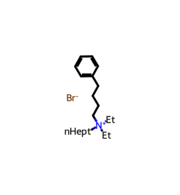 CCCCCCC[N+](CC)(CC)CCCCc1ccccc1.[Br-]